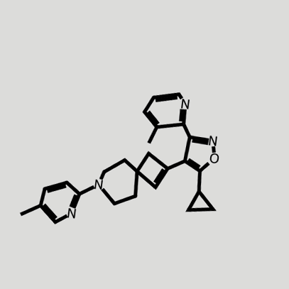 Cc1ccc(N2CCC3(C=C(c4c(-c5ncccc5C)noc4C4CC4)C3)CC2)nc1